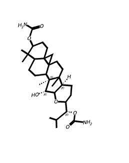 CC(C)[C@@H](OC(N)=O)C1CC[C@H]2C(O1)[C@H](O)[C@@]1(C)C3CCC4C(C)(C)C(OC(N)=O)CCC45CC35CCC21C